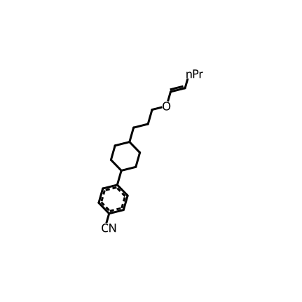 CCC/C=C/OCCCC1CCC(c2ccc(C#N)cc2)CC1